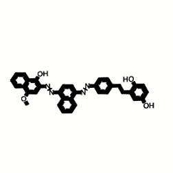 COc1cc(N=Nc2ccc(N=Nc3ccc(CCc4cc(O)ccc4O)cc3)c3ccccc23)c(O)c2ccccc12